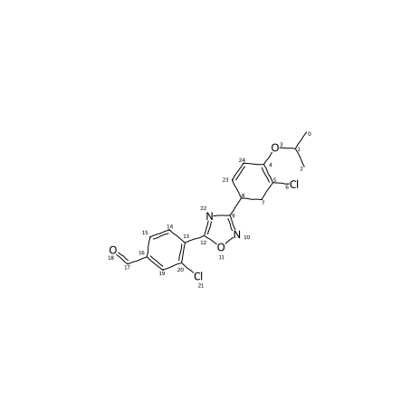 CC(C)OC1=C(Cl)CC(c2noc(-c3ccc(C=O)cc3Cl)n2)C=C1